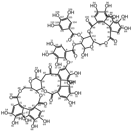 O=C(OC1C(OC(=O)c2cc(O)c(O)c(O)c2Oc2cc3c(c(O)c2O)-c2c(cc(O)c(O)c2O)C(=O)OC2C(CC3=O)C(O)OC3COC(=O)c4cc(O)c(O)c(O)c4-c4c(cc(O)c(O)c4O)C(=O)OC32)C(O)OC2COC(=O)c3cc(O)c(O)c(O)c3-c3c(cc(O)c(O)c3O)C(=O)OC21)c1cc(O)c(O)c(O)c1